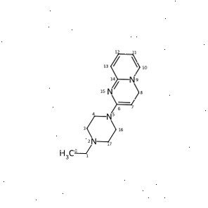 CCN1CCN(C2=CCN3C=CC=CC3=N2)CC1